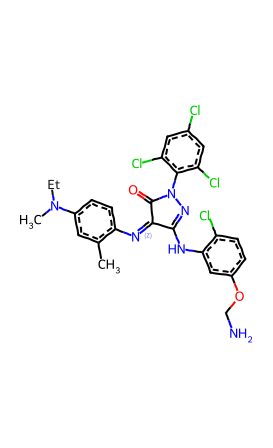 CCN(C)c1ccc(/N=C2\C(=O)N(c3c(Cl)cc(Cl)cc3Cl)N=C2Nc2cc(OCN)ccc2Cl)c(C)c1